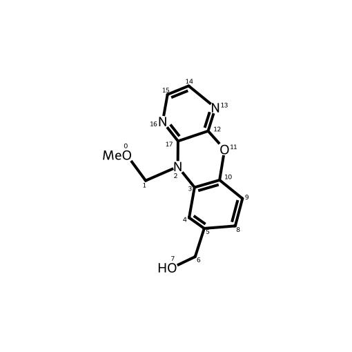 COCN1c2cc(CO)ccc2Oc2nccnc21